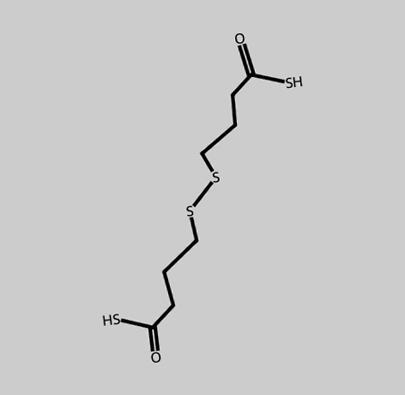 O=C(S)CCCSSCCCC(=O)S